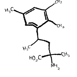 Cc1cc(C)c(C)c(C(C)CC(C)(N)C(=O)O)c1